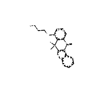 CC1(C)c2oc3ccccc3c2C(=O)c2cccc(OCCCO)c21